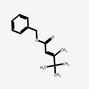 C/C(=C\C(=O)OCc1ccccc1)C(C)(C)C